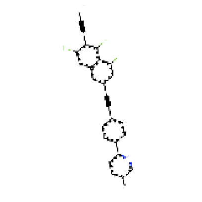 Cc1ccc(-c2ccc(C#Cc3cc(F)c4c(F)c(C#CC(F)(F)F)c(F)cc4c3)cc2)nc1